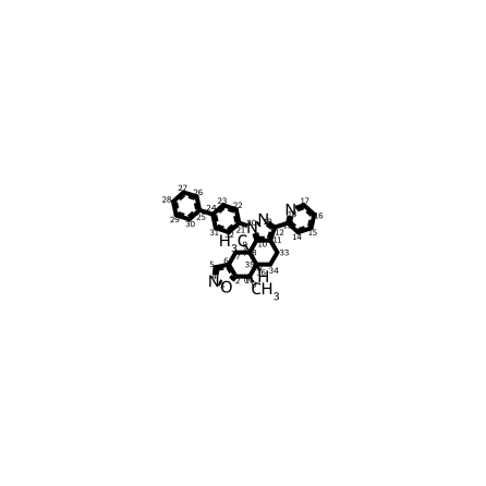 C[C@H]1c2oncc2C[C@@]2(C)c3c(c(-c4ccccn4)nn3-c3ccc(-c4ccccc4)cc3)CC[C@H]12